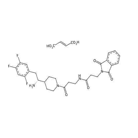 N[C@H](Cc1cc(F)c(F)cc1F)C1CCN(C(=O)CCNC(=O)CCN2C(=O)c3ccccc3C2=O)CC1.O=C(O)C=CC(=O)O